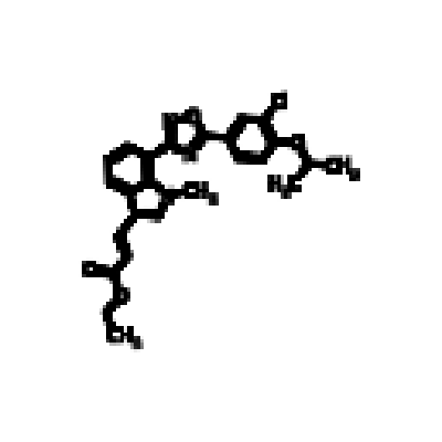 CCOC(=O)/C=C/c1cn(C)c2c(-c3noc(-c4ccc(OC(C)C)c(Cl)c4)n3)cccc12